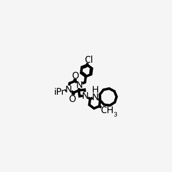 CC(C)N1CC(=O)N(Cc2ccc(Cl)cc2)C2(CN(C3CCC(C)C4(CCCCCCCC4)N3)C2)C1=O